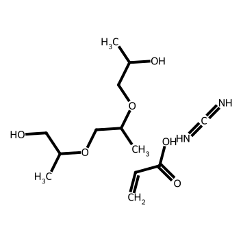 C=CC(=O)O.CC(O)COC(C)COC(C)CO.N=C=N